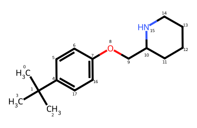 CC(C)(C)c1ccc(OCC2CCCCN2)cc1